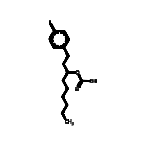 CCCCCCC(CCc1ccc(I)cc1)OC(=O)O